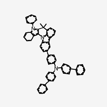 CC1(C)c2cccc3c4cc(-c5ccc(N(c6ccc(-c7ccccc7)cc6)c6ccc(-c7ccccc7)cc6)cc5)ccc4n(c23)-c2c3c(n(-c4ccccc4)c21)C=CCC3